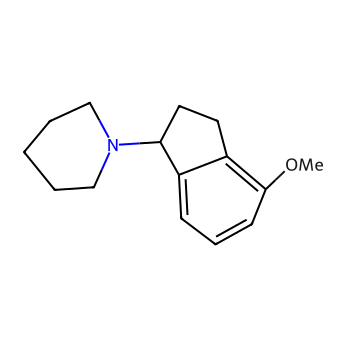 COc1cccc2c1CCC2N1CCCCC1